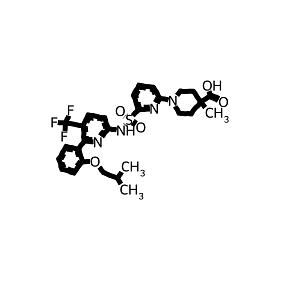 CC(C)COc1ccccc1-c1nc(NS(=O)(=O)c2cccc(N3CCC(C)(C(=O)O)CC3)n2)ccc1C(F)(F)F